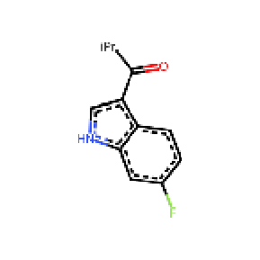 CC(C)C(=O)c1c[nH]c2cc(F)ccc12